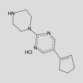 C1=C(c2cnc(N3CCNCC3)nc2)CCC1.Cl